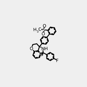 CS(=O)(=O)c1ccccc1-c1ccc([C@]2(NC(=O)c3ccc(F)cc3)CCOc3cccnc32)cc1